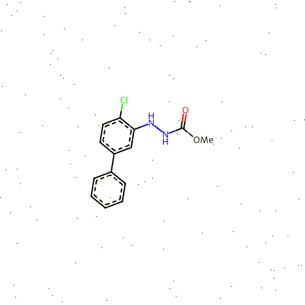 COC(=O)NNc1cc(-c2ccccc2)ccc1Cl